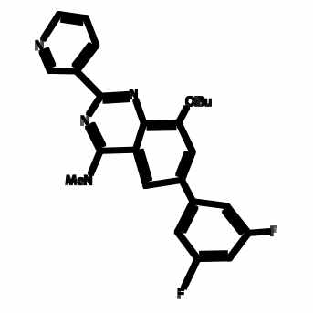 CNc1nc(-c2cccnc2)nc2c(OCC(C)C)cc(-c3cc(F)cc(F)c3)cc12